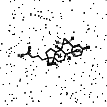 CC(=O)CCC[C@]1(O)CC[C@H]2[C@@H]3[C@H]4C[C@H]4C4=CC(=O)CC[C@]4(C)[C@H]3CC[C@@]21C